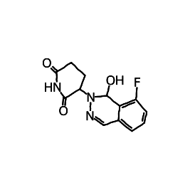 O=C1CCC(N2N=Cc3cccc(F)c3C2O)C(=O)N1